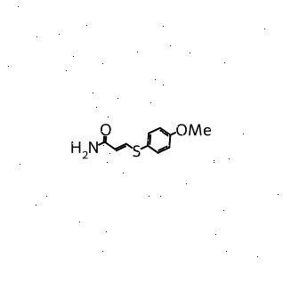 COc1ccc(SC=CC(N)=O)cc1